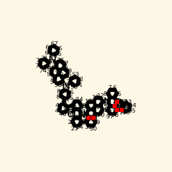 c1ccc(-c2ccccc2N(c2ccc3ccc4c(N(c5ccccc5-c5ccccc5)c5cccc6c5oc5cccc(-c7ccc(N(c8ccccc8)c8ccc9ccc%10c(N(c%11ccccc%11)c%11ccccc%11)ccc%11ccc8c9c%11%10)cc7)c56)ccc5ccc2c3c54)c2cccc3c2oc2ccccc23)cc1